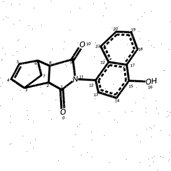 O=C1C2C3C=CC(C3)C2C(=O)N1c1ccc(O)c2ccccc12